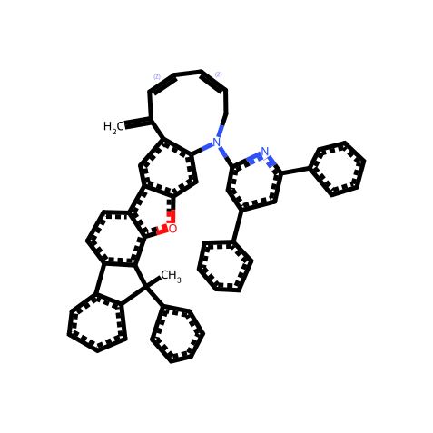 C=C1/C=C\C=C/CN(c2cc(-c3ccccc3)cc(-c3ccccc3)n2)c2cc3oc4c5c(ccc4c3cc21)-c1ccccc1C5(C)c1ccccc1